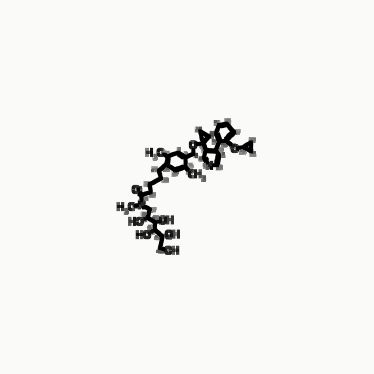 Cc1cc(COC2(c3cnccc3-c3ccccc3OC3CC3)CC2)c(C)cc1CCCCC(=O)N(C)C[C@H](O)[C@@H](O)[C@H](O)[C@H](O)CO